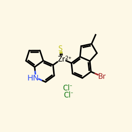 CC1=Cc2[c]([Zr+2](=[S])[c]3cc[nH]c4cccc3-4)ccc(Br)c2C1.[Cl-].[Cl-]